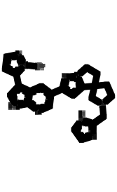 CC(C)n1nccc1-c1c[nH]c2ncc(-c3cc4n(n3)CCC43CCN(Cc4ncc[nH]4)C3)cc12